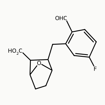 O=Cc1ccc(F)cc1CC1C2CCC(O2)C1C(=O)O